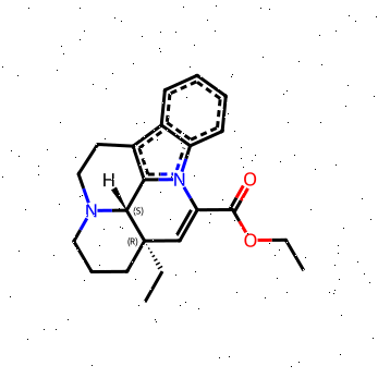 CCOC(=O)C1=C[C@@]2(CC)CCCN3CCc4c(n1c1ccccc41)[C@@H]32